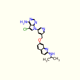 CC(C)Nc1ccc2ccc(OCc3cncc(-n4cc(Cl)c5c(N)ncnc54)c3)cc2n1